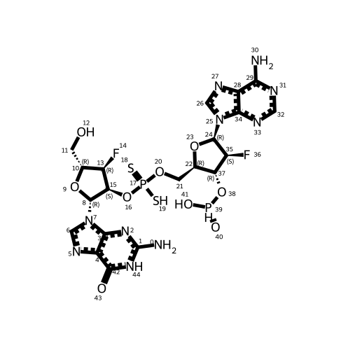 Nc1nc2c(ncn2[C@@H]2O[C@H](CO)[C@@H](F)[C@H]2OP(=S)(S)OC[C@H]2O[C@@H](n3cnc4c(N)ncnc43)[C@@H](F)[C@@H]2O[PH](=O)O)c(=O)[nH]1